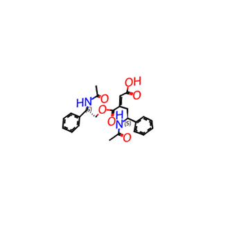 CC(=O)N[C@@H](CC(=CC(=O)O)C(=O)OC[C@@H](NC(C)=O)c1ccccc1)c1ccccc1